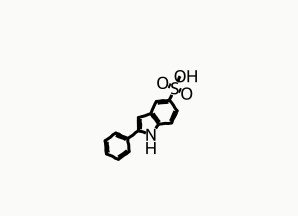 O=S(=O)(O)c1ccc2[nH]c(-c3ccccc3)cc2c1